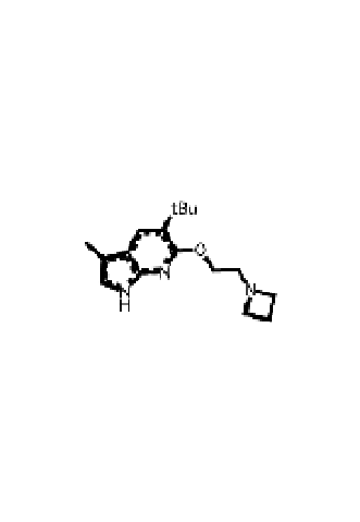 Cc1c[nH]c2nc(OCCN3CCC3)c(C(C)(C)C)cc12